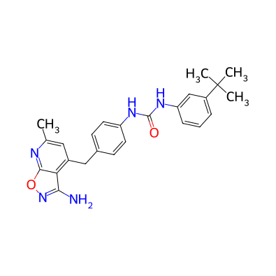 Cc1cc(Cc2ccc(NC(=O)Nc3cccc(C(C)(C)C)c3)cc2)c2c(N)noc2n1